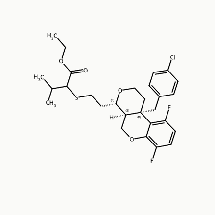 CCOC(=O)C(SCC[C@@H]1OCC[C@@]2(Cc3ccc(Cl)cc3)c3c(F)ccc(F)c3OC[C@@H]12)C(C)C